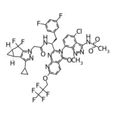 Cn1nc(NS(C)(=O)=O)c2c(Cl)ccc(-n3c([C@H](Cc4cc(F)cc(F)c4)NC(=O)Cn4nc(C5CC5)c5c4C(F)(F)[C@@H]4C[C@H]54)nc4nc(OCC(F)(F)C(F)(F)F)ccc4c3=O)c21